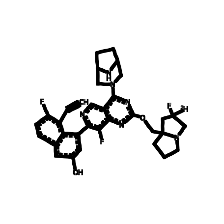 [2H]C1(F)CN2CCCC2(COc2nc(N3CC4CCC(C3)N4)c3cnc(-c4cc(O)cc5ccc(F)c(C#C)c45)c(F)c3n2)C1